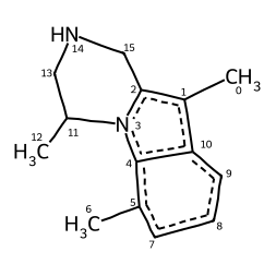 Cc1c2n(c3c(C)cccc13)C(C)CNC2